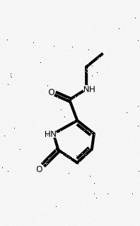 CCNC(=O)c1cccc(=O)[nH]1